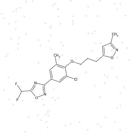 Cc1cc(CCCOc2c(C)cc(-c3noc(C(F)F)n3)cc2Cl)on1